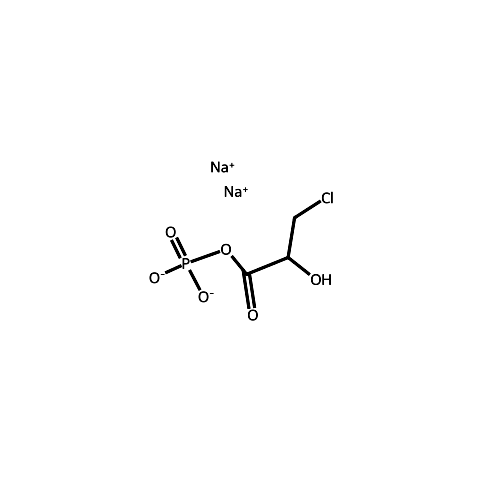 O=C(OP(=O)([O-])[O-])C(O)CCl.[Na+].[Na+]